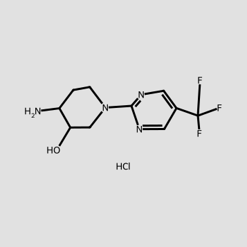 Cl.NC1CCN(c2ncc(C(F)(F)F)cn2)CC1O